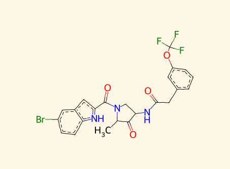 CC1C(=O)C(NC(=O)Cc2cccc(OC(F)(F)F)c2)CN1C(=O)c1cc2cc(Br)ccc2[nH]1